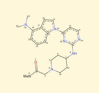 CNC(=O)CN1CCC(Nc2nccc(-n3ccc4c(N(C)C)cccc43)n2)CC1